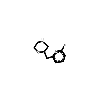 Brc1cccc(CC2CNCCO2)n1